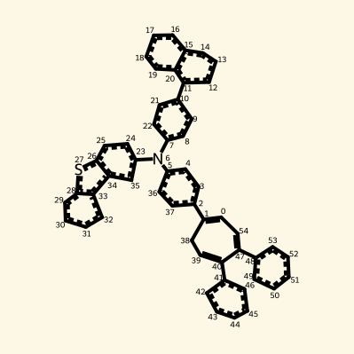 C1=C(c2ccc(N(c3ccc(-c4cccc5ccccc45)cc3)c3ccc4sc5ccccc5c4c3)cc2)CC=C(c2ccccc2)C(c2ccccc2)=C1